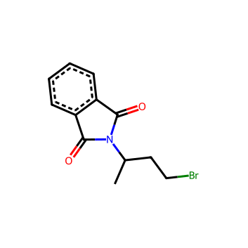 CC(CCBr)N1C(=O)c2ccccc2C1=O